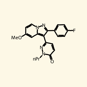 CCCn1nc(-c2c(-c3ccc(F)cc3)nn3ccc(OC)cc23)ccc1=O